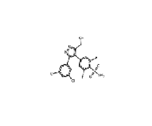 NS(=O)(=O)c1c(F)cc(-c2c(-c3cc(Cl)cc(Cl)c3)noc2CO)cc1F